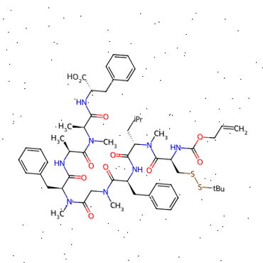 C=CCOC(=O)N[C@@H](CSSC(C)(C)C)C(=O)N(C)[C@@H](CC(C)C)C(=O)N[C@@H](Cc1ccccc1)C(=O)N(C)CC(=O)N(C)[C@@H](Cc1ccccc1)C(=O)N[C@@H](C)C(=O)N(C)[C@@H](C)C(=O)N[C@@H](Cc1ccccc1)C(=O)O